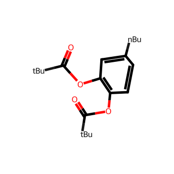 CCCCc1ccc(OC(=O)C(C)(C)C)c(OC(=O)C(C)(C)C)c1